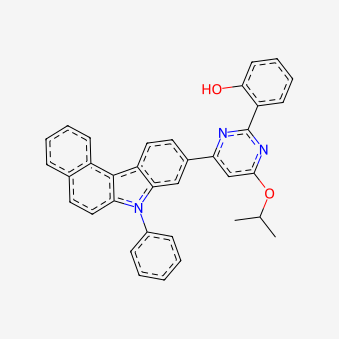 CC(C)Oc1cc(-c2ccc3c4c5ccccc5ccc4n(-c4ccccc4)c3c2)nc(-c2ccccc2O)n1